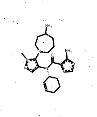 Cn1ncc(N(C(=O)c2ncsc2N)[C@H]2C=CCCC2)c1N1CCCC(N)CC1